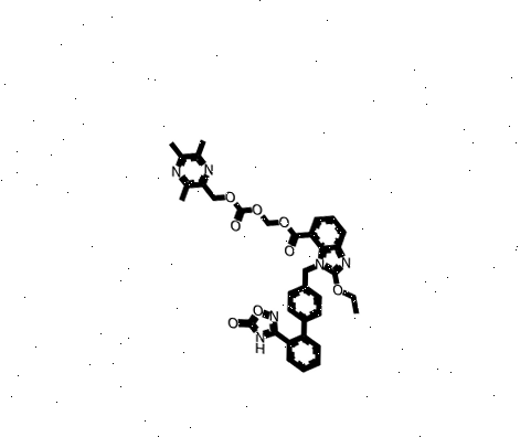 CCOc1nc2cccc(C(=O)OCOC(=O)OCc3nc(C)c(C)nc3C)c2n1Cc1ccc(-c2ccccc2-c2noc(=O)[nH]2)cc1